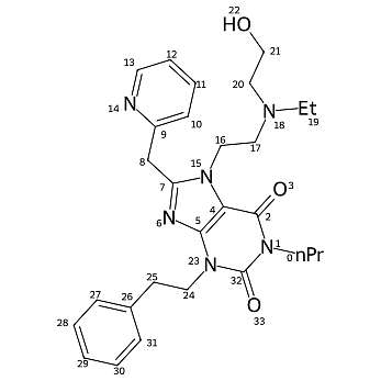 CCCn1c(=O)c2c(nc(Cc3ccccn3)n2CCN(CC)CCO)n(CCc2ccccc2)c1=O